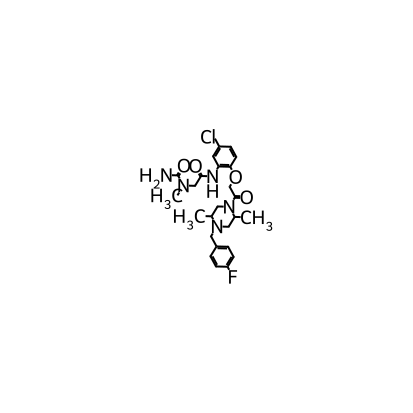 CC1CN(C(=O)COc2ccc(Cl)cc2NC(=O)CN(C)C(N)=O)C(C)CN1Cc1ccc(F)cc1